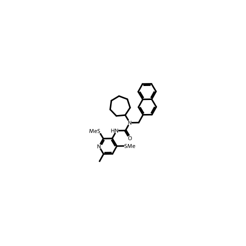 CSc1cc(C)nc(SC)c1NC(=O)N(Cc1ccc2ccccc2c1)C1CCCCCC1